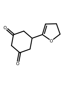 O=C1CC(=O)CC(C2=CCCO2)C1